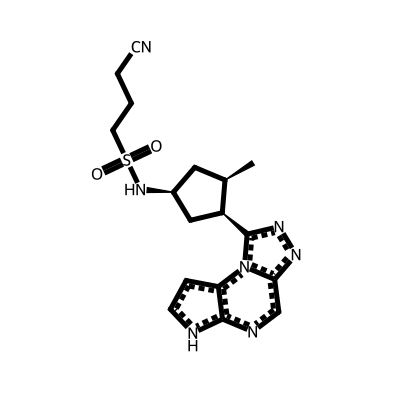 C[C@@H]1C[C@H](NS(=O)(=O)CCCC#N)C[C@@H]1c1nnc2cnc3[nH]ccc3n12